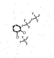 Clc1ccccc1Cl.F[B-](F)(F)F.F[B-](F)(F)F.F[B-](F)(F)F